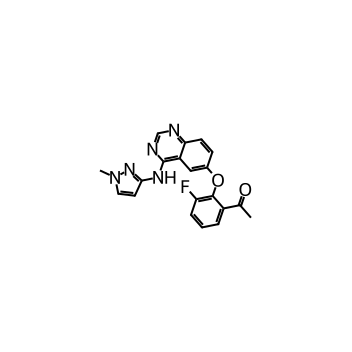 CC(=O)c1cccc(F)c1Oc1ccc2ncnc(Nc3ccn(C)n3)c2c1